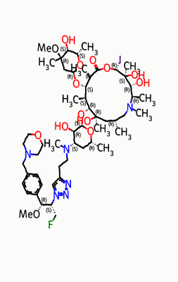 CO[C@H](c1ccc(CN2CCOCC2)cc1)[C@@H](CF)n1cc(CCN(C)[C@H]2C[C@@H](C)O[C@@H](O[C@@H]3[C@@H](C)[C@H](O[C@H]4C[C@@](C)(OC)[C@@H](O)[C@H](C)O4)[C@@H](C)C(=O)O[C@H](I)[C@@](C)(O)[C@H](O)[C@@H](C)N(C)C[C@H](C)C[C@@]3(C)O)[C@@H]2O)nn1